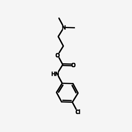 CN(C)CCOC(=O)Nc1ccc(Cl)cc1